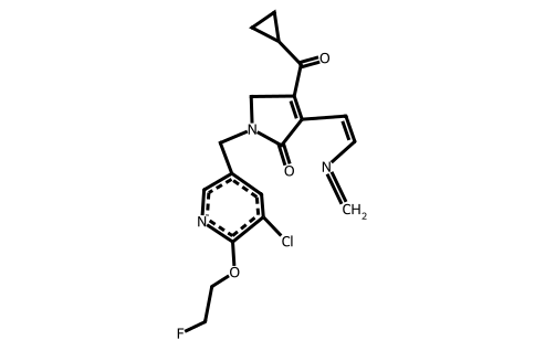 C=N/C=C\C1=C(C(=O)C2CC2)CN(Cc2cnc(OCCF)c(Cl)c2)C1=O